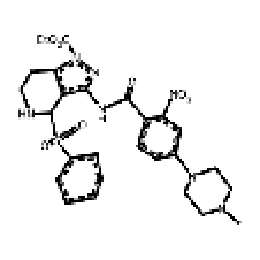 CCOC(=O)n1nc(NC(=O)c2ccc(N3CCN(C)CC3)cc2[N+](=O)[O-])c2c1CCNC2S(=O)(=O)c1ccccc1